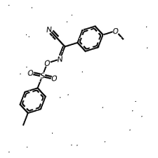 COc1ccc(/C(C#N)=N/OS(=O)(=O)c2ccc(C)cc2)cc1